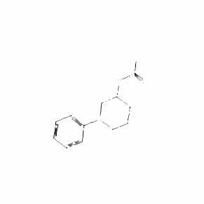 COC(=O)NC1CCCN(c2ccccc2)C1